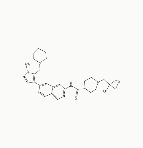 Cn1ncc(-c2ccc3cnc(NC(=O)C4CCN(CC5(C)COC5)CC4)cc3c2)c1CN1CCCCC1